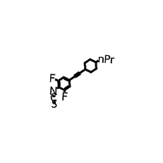 CCCC1CCC(C#Cc2cc(F)c(N=C=S)c(F)c2)CC1